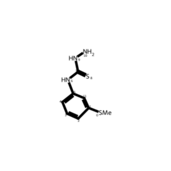 CSc1cccc(NC(=S)NN)c1